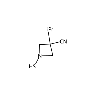 CC(C)C1(C#N)CN(S)C1